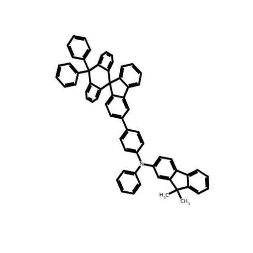 CC1(C)c2ccccc2-c2ccc(N(c3ccccc3)c3ccc(-c4ccc5c(c4)-c4ccccc4C54c5ccccc5C(c5ccccc5)(c5ccccc5)c5ccccc54)cc3)cc21